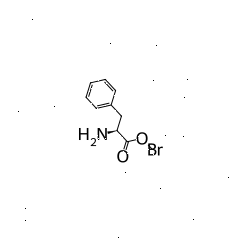 N[C@@H](Cc1ccccc1)C(=O)OBr